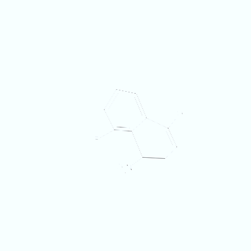 O=[N+]([O-])c1ccc(O)c2cccc(F)c12